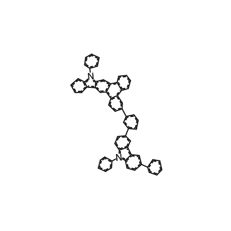 c1ccc(-c2ccc3c(c2)c2cc(-c4cccc(-c5ccc6c(c5)c5ccccc5c5cc7c(cc65)c5ccccc5n7-c5ccccc5)c4)ccc2n3-c2ccccc2)cc1